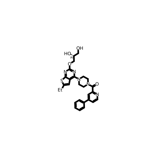 CCc1cc2c(N3CCN(C(=O)c4cc(-c5ccccc5)ccn4)CC3)nc(OC[C@H](O)CO)nc2s1